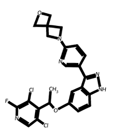 CC(Oc1ccc2[nH]nc(-c3ccc(N4CC5(COC5)C4)nc3)c2c1)c1c(Cl)cnc(F)c1Cl